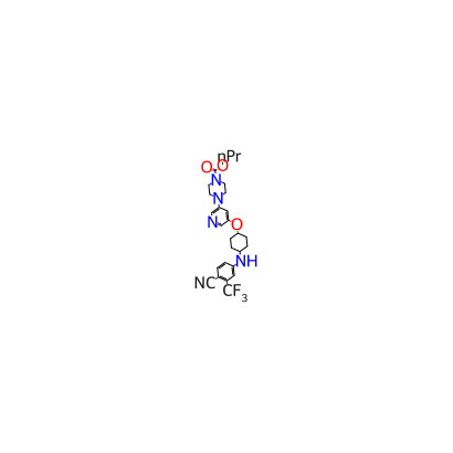 CCCOC(=O)N1CCN(c2cncc(O[C@H]3CC[C@H](Nc4ccc(C#N)c(C(F)(F)F)c4)CC3)c2)CC1